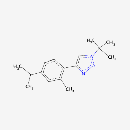 Cc1cc(C(C)C)ccc1-c1cn(C(C)(C)C)nn1